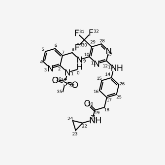 CN(c1ncccc1CNc1nc(Nc2ccc(CC(=O)NC3CC3)cc2)ncc1C(F)(F)F)S(C)(=O)=O